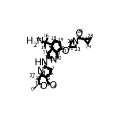 C[C@@H]1OC(=O)c2ccc(Nc3cc4c(C(C)(C)N)ccc(OC5CN(C(=O)C6CC6)C5)c4cn3)nc2[C@H]1C